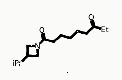 CCC(=O)CCCCCC(=O)N1CC(C(C)C)C1